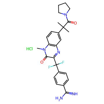 Cl.Cn1c(=O)c(C(F)(F)c2ccc(C(=N)N)cc2)nc2cc(C(C)(C)C(=O)N3CCCC3)ccc21